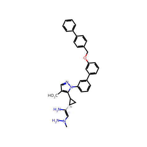 CN(N)/C=C(\N)[C@H]1CC1c1c(C(=O)O)cnn1-c1cccc(-c2cccc(OCc3ccc(-c4ccccc4)cc3)c2)c1